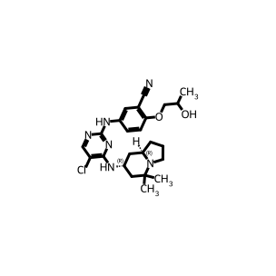 CC(O)COc1ccc(Nc2ncc(Cl)c(N[C@@H]3C[C@H]4CCCN4C(C)(C)C3)n2)cc1C#N